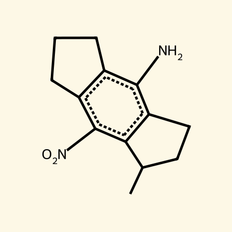 CC1CCc2c(N)c3c(c([N+](=O)[O-])c21)CCC3